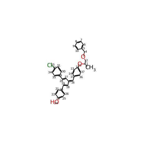 CC(COCc1ccccc1)Oc1ccc(C=C(C=Cc2ccc(O)cc2)C=Cc2ccc(Cl)cc2)cc1